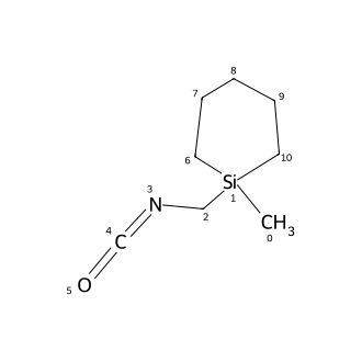 C[Si]1(CN=C=O)CCCCC1